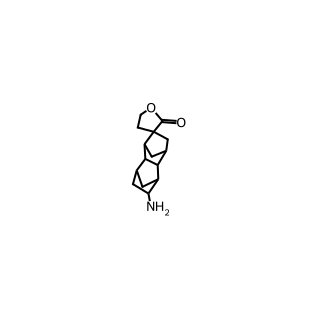 NC1CC2CC1C1C3CC(C21)C1(CCOC1=O)C3